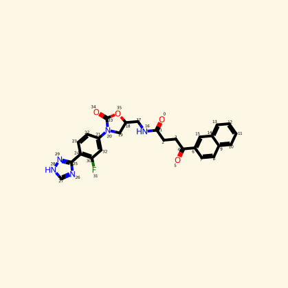 O=C(CCC(=O)c1ccc2ccccc2c1)NCC1CN(c2ccc(-c3nc[nH]n3)c(F)c2)C(=O)O1